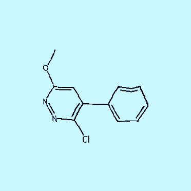 COc1cc(-c2ccccc2)c(Cl)nn1